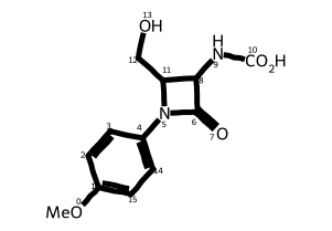 COc1ccc(N2C(=O)C(NC(=O)O)C2CO)cc1